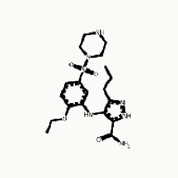 CCCc1n[nH]c(C(N)=O)c1Nc1cc(S(=O)(=O)N2CCNCC2)ccc1OCC